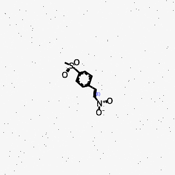 CS(=O)(=O)c1ccc(/C=C/[N+](=O)[O-])cc1